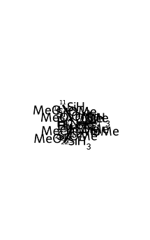 CCC(OC)(N(C(CC)(OC)C(OC)(OC)C(C)([SiH3])[SiH2]OC)C(CC)(OC)C(OC)(OC)C(C)([SiH3])[SiH2]OC)C(OC)(OC)C(C)([SiH3])[SiH2]OC